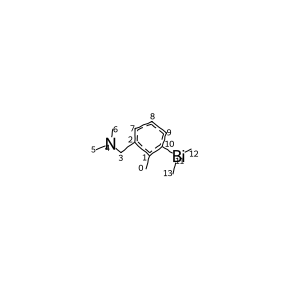 Cc1c(CN(C)C)ccc[c]1[Bi]([CH3])[CH3]